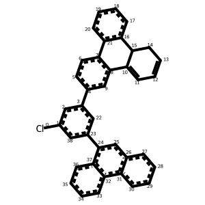 Clc1cc(-c2ccc3c(c2)C2=CC=CCC2c2ccccc2-3)cc(-c2cc3ccccc3c3ccccc23)c1